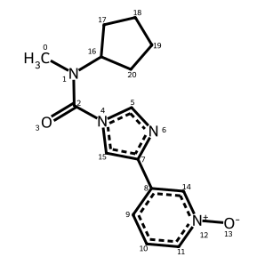 CN(C(=O)n1cnc(-c2ccc[n+]([O-])c2)c1)C1CCCC1